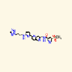 CS(=O)(=O)c1cncc(C(=O)NCc2cc3nc(-c4cccc(NCCCCn5ncnn5)n4)ccc3cn2)c1